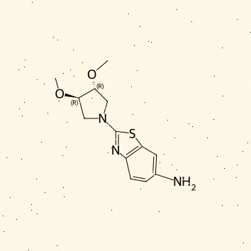 CO[C@@H]1CN(c2nc3ccc(N)cc3s2)C[C@H]1OC